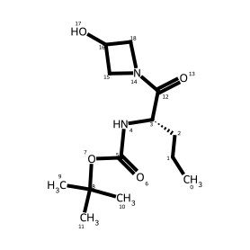 CCC[C@H](NC(=O)OC(C)(C)C)C(=O)N1CC(O)C1